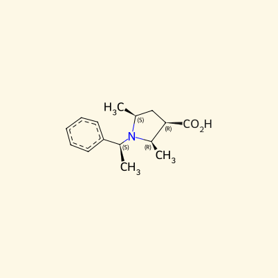 C[C@@H]1[C@H](C(=O)O)C[C@H](C)N1[C@@H](C)c1ccccc1